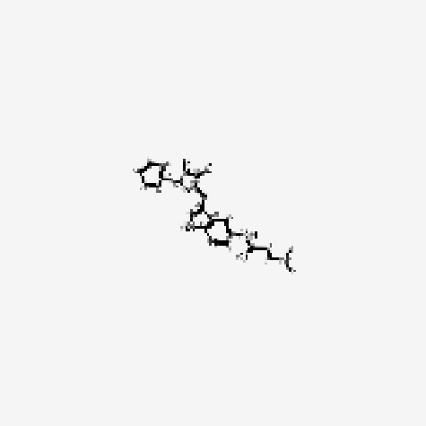 CN(C)CCC(=O)Nc1cnc2[nH]cc(C=C3N=C(c4ccccc4)NC3=O)c2c1